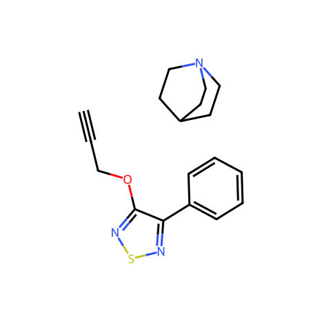 C#CCOc1nsnc1-c1ccccc1.C1CN2CCC1CC2